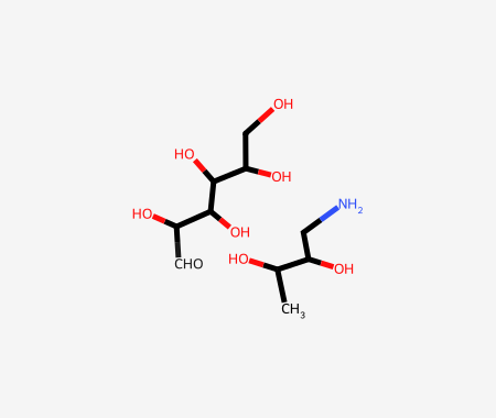 CC(O)C(O)CN.O=CC(O)C(O)C(O)C(O)CO